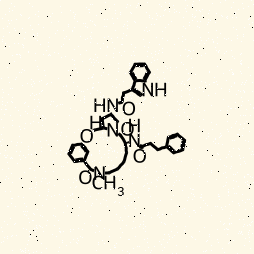 CN1CCCC[C@H](NC(=O)CCc2ccccc2)C(=O)N2C[C@@H](NC(=O)Cc3c[nH]c4ccccc34)C[C@H]2COc2cccc(c2)C1=O